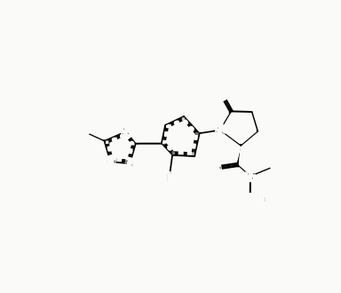 CN(C(=O)[C@@H]1CCC(=O)N1c1ccc(-c2noc(C(F)(F)F)n2)c(F)c1)C(C)(C)C